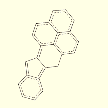 C1=c2ccccc2=C2Cc3ccc4cccc5ccc(c3c45)=C12